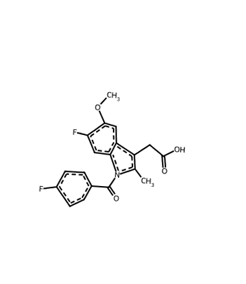 COc1cc2c(CC(=O)O)c(C)n(C(=O)c3ccc(F)cc3)c2cc1F